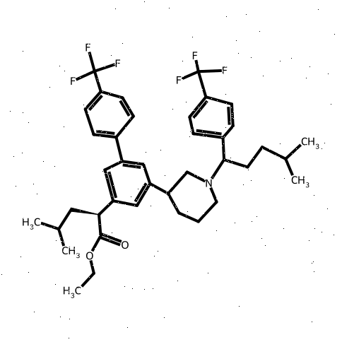 CCOC(=O)[C@@H](CC(C)C)c1cc(-c2ccc(C(F)(F)F)cc2)cc(C2CCCN(C(CCC(C)C)c3ccc(C(F)(F)F)cc3)C2)c1